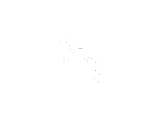 Cc1c2nc(NCC(=O)O)sc2cc2sc(NCC(=O)N3CCN(C4CCCC4)CC3)nc12